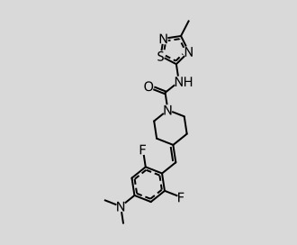 Cc1nsc(NC(=O)N2CCC(=Cc3c(F)cc(N(C)C)cc3F)CC2)n1